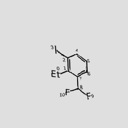 CCc1c(I)cccc1C(F)F